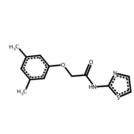 Cc1cc(C)cc(OCC(=O)Nc2nccs2)c1